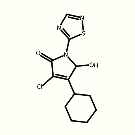 O=C1C(Cl)=C(C2CCCCC2)C(O)N1c1ncns1